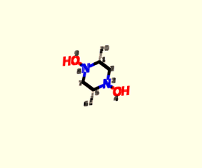 C[C@@H]1CN(O)[C@H](C)CN1O